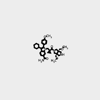 COC[C@]12CNC[C@@]1(COC)CN(C(=O)C1(Cn3c(-c4ccc(OC)cc4)c(C4CCCCC4)c4ccc(C(N)=O)cc43)CC1)C2